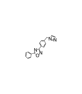 c1ccc(-c2nc(-c3ccc(Cn4ccnc4)cc3)no2)cc1